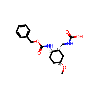 CO[C@@H]1CC[C@H](NC(=O)OCc2ccccc2)[C@H](CNC(=O)O)C1